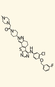 CN1CCN(CC(=O)N2CCC(n3cc4c(n3)CCc3c-4sc4ncnc(Nc5ccc(OCc6cccc(F)c6)c(Cl)c5)c34)CC2)CC1